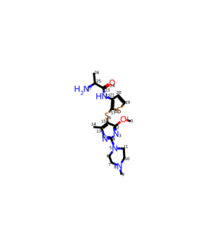 COc1nc(N2CCN(C)CC2)nc(C)c1Sc1sccc1NC(=O)C(C)N